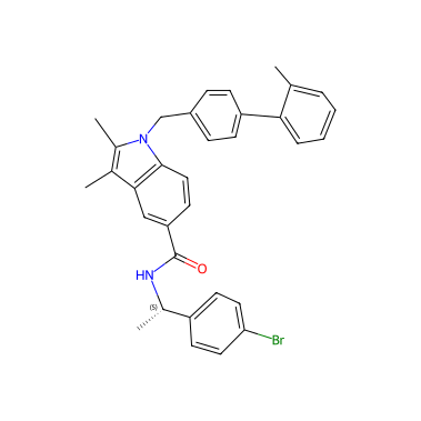 Cc1ccccc1-c1ccc(Cn2c(C)c(C)c3cc(C(=O)N[C@@H](C)c4ccc(Br)cc4)ccc32)cc1